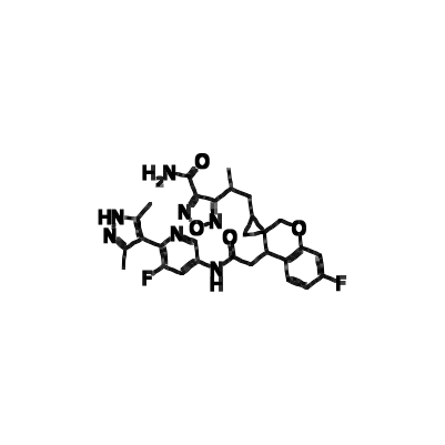 Cc1n[nH]c(C)c1-c1ncc(NC(=O)CC2c3ccc(F)cc3OCC23CC3CC(C)c2nonc2C(N)=O)cc1F